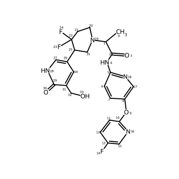 CC(C(=O)Nc1ccc(Oc2ccc(F)cn2)cn1)N1CCC(F)(F)C(c2c[nH]c(=O)c(CO)c2)C1